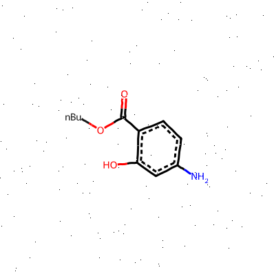 CCCCOC(=O)c1ccc(N)cc1O